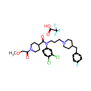 COCC(=O)N1CCC(C(=O)N(CCCN2CCC(Cc3ccc(F)cc3)CC2)c2ccc(Cl)c(Cl)c2)CC1.O=C(O)C(F)(F)F